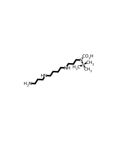 C[Si](C)(C)N(CCCNCCCCNCCCN)C(=O)O